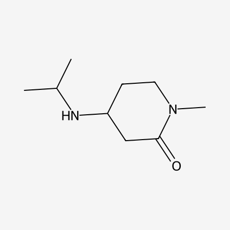 CC(C)NC1CCN(C)C(=O)C1